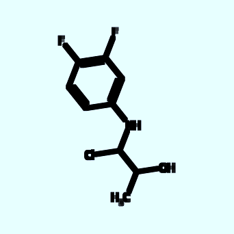 CC(O)C(Cl)Nc1ccc(F)c(F)c1